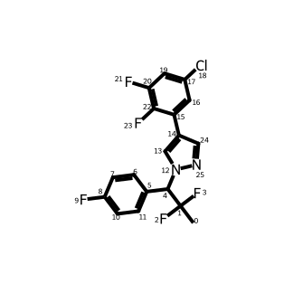 CC(F)(F)C(c1ccc(F)cc1)n1cc(-c2cc(Cl)cc(F)c2F)cn1